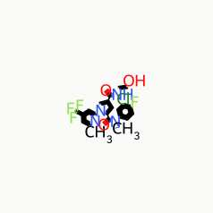 Cc1cc(C(F)(F)F)cc(N2C[C@@H](C(=O)NCCO)C[C@H]2C(=O)N(C)c2ccc(F)c(Cl)c2)n1